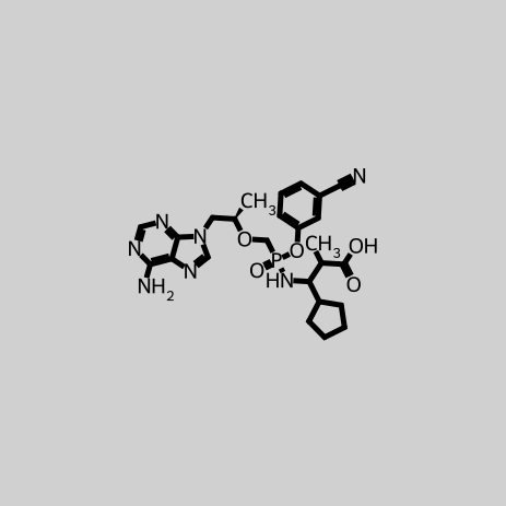 CC(C(=O)O)C(NP(=O)(CO[C@H](C)Cn1cnc2c(N)ncnc21)Oc1cccc(C#N)c1)C1CCCC1